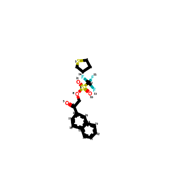 C1CCSC1.O=C(COS(=O)(=O)C(F)(F)F)c1ccc2ccccc2c1